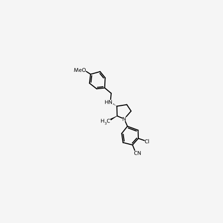 COc1ccc(CN[C@@H]2CCN(c3ccc(C#N)c(Cl)c3)[C@H]2C)cc1